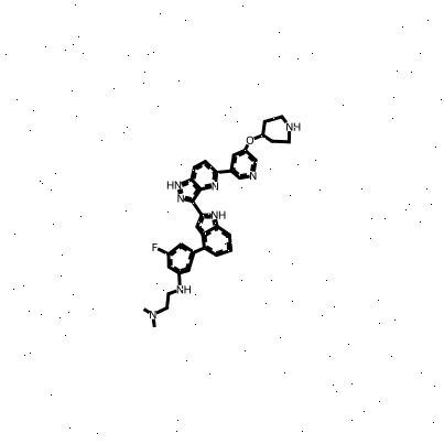 CN(C)CCNc1cc(F)cc(-c2cccc3[nH]c(-c4n[nH]c5ccc(-c6cncc(OC7CCNCC7)c6)nc45)cc23)c1